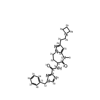 CN1C(=O)C(NC(=O)c2ncn(Cc3ccccc3)n2)CCn2nc(CCN3CCC3)cc21